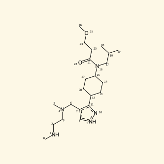 CNCCN(C)Cc1c[nH]nc1C1CCC(N(CC(C)C)C(=O)CCOC)CC1